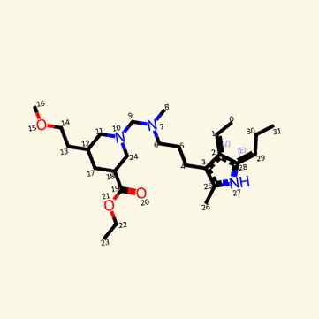 C/C=c1/c(CCCN(C)CN2CC(CCOC)CC(C(=O)OCC)C2)c(C)[nH]/c1=C/CC